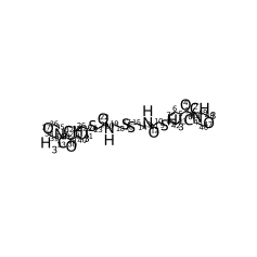 CC(C)(C(=O)c1ccc(SCC(=O)NCCSSCCNC(=O)CSc2ccc(C(=O)C(C)(C)N3CCOCC3)cc2)cc1)N1CCOCC1